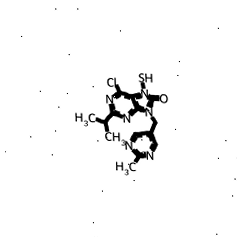 Cc1ncc(Cn2c(=O)n(S)c3c(Cl)nc(C(C)C)nc32)cn1